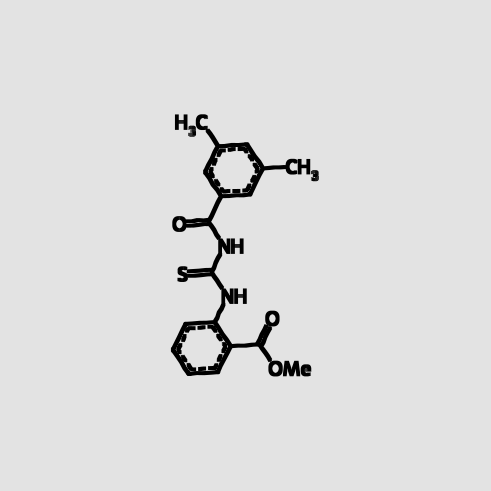 COC(=O)c1ccccc1NC(=S)NC(=O)c1cc(C)cc(C)c1